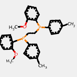 COc1ccccc1P(CCP(c1ccc(C)cc1)c1ccccc1OC)c1ccc(C)cc1